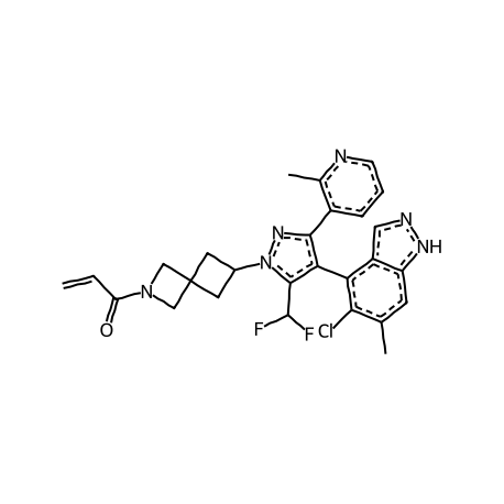 C=CC(=O)N1CC2(CC(n3nc(-c4cccnc4C)c(-c4c(Cl)c(C)cc5[nH]ncc45)c3C(F)F)C2)C1